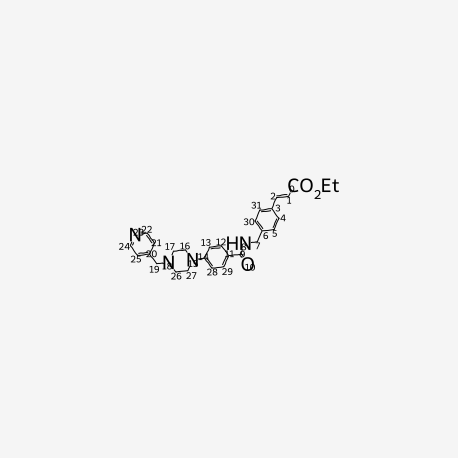 CCOC(=O)C=Cc1ccc(CNC(=O)c2ccc(N3CCN(Cc4ccncc4)CC3)cc2)cc1